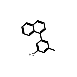 Cc1cc(O)cc(-c2cccc3ccccc23)c1